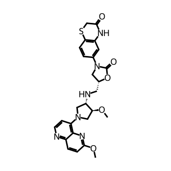 COc1ccc2nccc(N3C[C@H](NC[C@@H]4CN(c5ccc6c(c5)NC(=O)CS6)C(=O)O4)[C@@H](OC)C3)c2n1